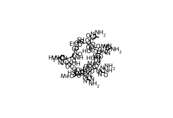 CC[C@H]1O[C@@H](n2cc(C)c(=O)[nH]c2=O)C[C@H]1OP(=O)(S)OC[C@H]1O[C@@H](n2cc(C)c(N)nc2=O)C(OCCOC)[C@H]1OP(=O)(O)OC[C@H]1O[C@@H](n2cnc3c(N)ncnc32)C(OCCOC)[C@H]1OP(=O)(O)OC[C@H]1O[C@@H](n2cnc3c(=O)[nH]c(N)nc32)C(OCCOC)[C@H]1OP(=O)(S)OC[C@H]1O[C@@H](n2cnc3c(N)ncnc32)C(OCCOC)[C@H]1OP(=O)(S)OC[C@H]1O[C@@H](n2cnc3c(N)ccnc32)C(OCCOC)[C@H]1O